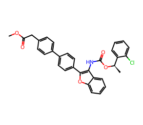 COC(=O)Cc1ccc(-c2ccc(-c3oc4ccccc4c3NC(=O)O[C@H](C)c3ccccc3Cl)cc2)cc1